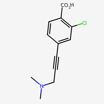 CN(C)CC#Cc1ccc(C(=O)O)c(Cl)c1